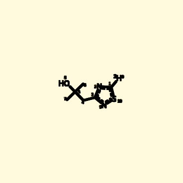 [2H]c1nc(CC(C)(C)O)ns1